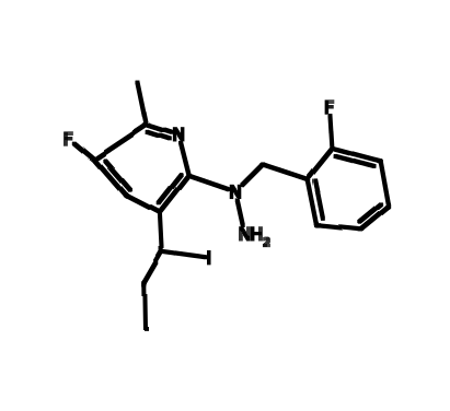 CCC(I)c1cc(F)c(C)nc1N(N)Cc1ccccc1F